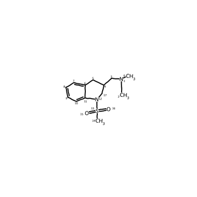 CN(C)CC1Cc2ccccc2N(S(C)(=O)=O)C1